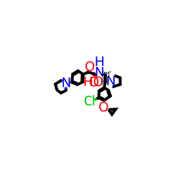 C[C@@H](NC(=O)C(=O)c1ccc(N2CCCCC2)cc1)[C@](O)(c1ccc(OC2CC2)c(Cl)c1)N1CCCC1